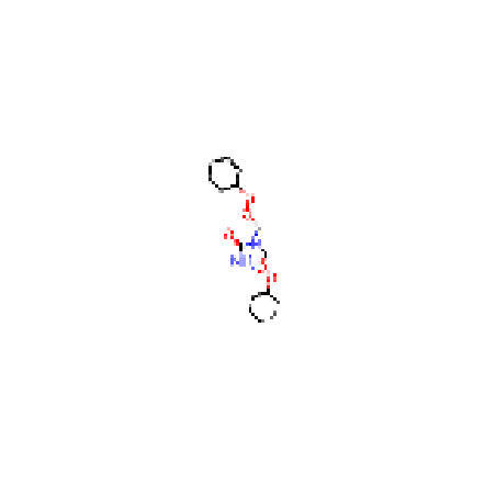 NC(=O)N(COOC1CCCCC1)COOC1CCCCC1